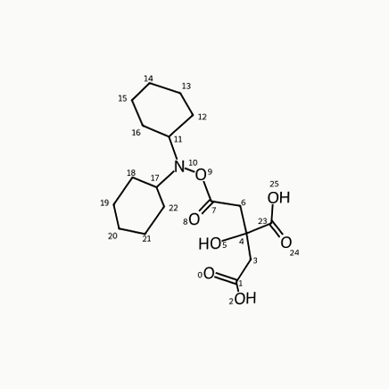 O=C(O)CC(O)(CC(=O)ON(C1CCCCC1)C1CCCCC1)C(=O)O